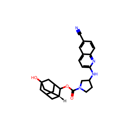 N#Cc1ccc2nc(NC3CCN(C(=O)OC4C5CC6C[C@@H]4CC(O)(C6)C5)C3)ccc2c1